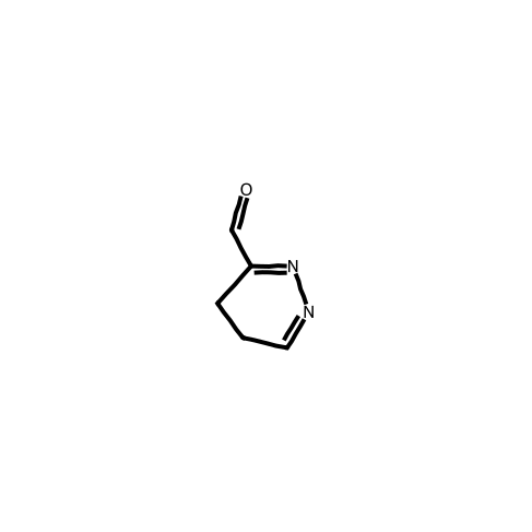 O=CC1=NN=CCC1